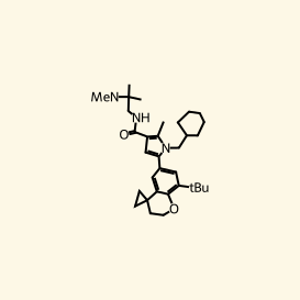 CNC(C)(C)CNC(=O)c1cc(-c2cc(C(C)(C)C)c3c(c2)C2(CCO3)CC2)n(CC2CCCCC2)c1C